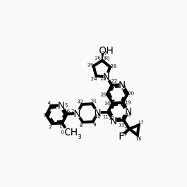 Cc1cccnc1N1CCN(c2nc(C3(F)CC3)nc3cnc(N4CC[C@@H](O)C4)cc23)CC1